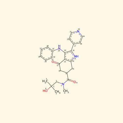 CN(CC(C)(C)O)C(=O)C1CC(=O)c2c([nH]c(-c3ccncc3)c2Nc2ccccc2)C1